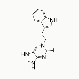 IC1N=C2NCNC2=CN1CCc1c[nH]c2ccccc12